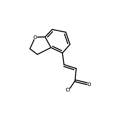 O=C(Cl)C=Cc1cccc2c1CCO2